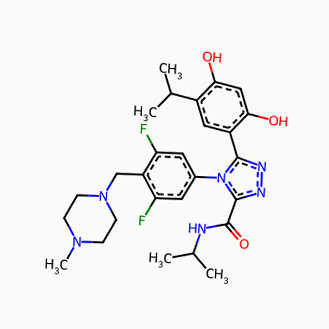 CC(C)NC(=O)c1nnc(-c2cc(C(C)C)c(O)cc2O)n1-c1cc(F)c(CN2CCN(C)CC2)c(F)c1